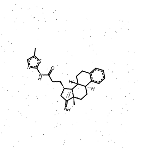 Cc1cnc(NC(=O)CC[C@@H]2CC(=N)[C@@]3(C)CC[C@@H]4c5ccccc5CC[C@H]4[C@H]23)s1